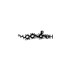 CCCCC1CCC(C2CCC(CCc3ccc(CCO)c(F)c3)CC2)CC1